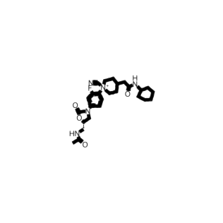 CC(=O)NC[C@H]1CN(c2ccc([N+]3(C#N)CCC(CC(=O)NC4CCCCC4)CC3)c(F)c2)C(=O)O1